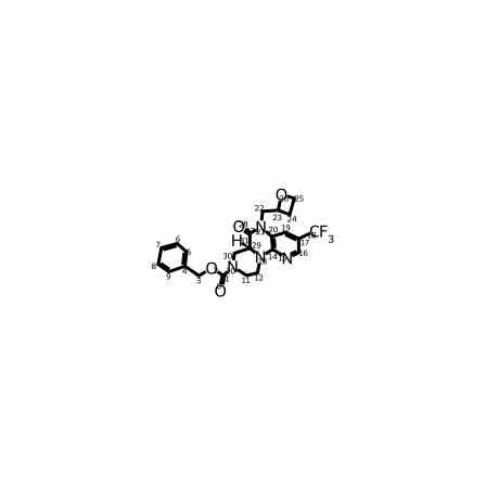 O=C(OCc1ccccc1)N1CCN2c3ncc(C(F)(F)F)cc3N(CC3CCO3)C(=O)[C@H]2C1